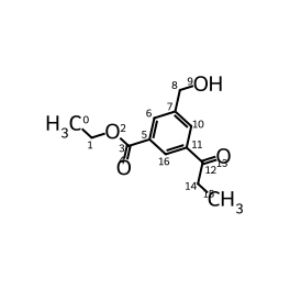 CCOC(=O)c1cc(CO)cc(C(=O)CC)c1